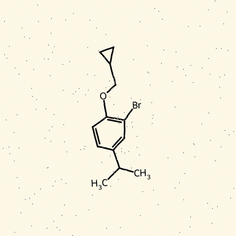 CC(C)c1ccc(OCC2CC2)c(Br)c1